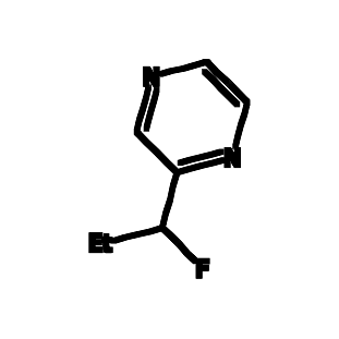 CCC(F)c1cnccn1